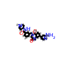 CN1CCC(NC(=O)c2cccc(CN3CC(=O)N(C)c4cc(-c5ccnc(N)c5)ccc4C3=O)c2)CC1